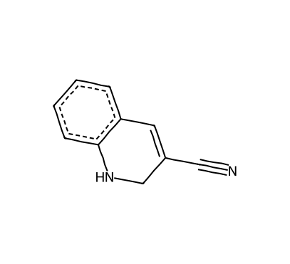 N#CC1=Cc2ccccc2NC1